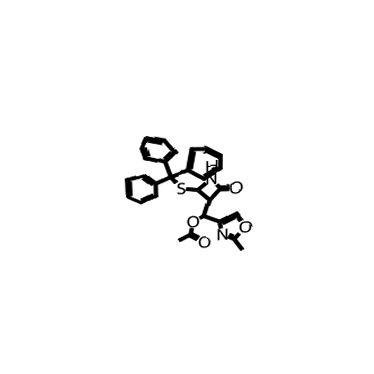 CC(=O)OC(c1coc(C)n1)C1C(=O)NC1SC(c1ccccc1)(c1ccccc1)c1ccccc1